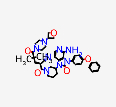 CC(C)(C=C(C#N)C(=O)N1CCCC(n2c(=O)n(-c3ccc(Oc4ccccc4)cc3)c3c(N)nccc32)C1)C(=O)N1CCN(C2COC2)CC1